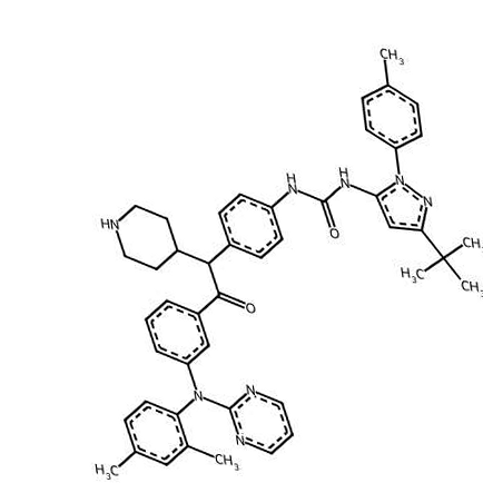 Cc1ccc(-n2nc(C(C)(C)C)cc2NC(=O)Nc2ccc(C(C(=O)c3cccc(N(c4ncccn4)c4ccc(C)cc4C)c3)C3CCNCC3)cc2)cc1